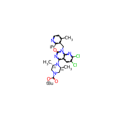 Cc1ccnc(C(C)C)c1Cn1c(=O)nc(N2[C@@H](C)CN(C(=O)OC(C)(C)C)C[C@@H]2C)c2cc(Cl)c(Cl)nc21